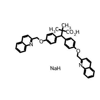 CC(C)(C(=O)O)C(c1ccc(OCc2ccc3ccccc3n2)cc1)c1ccc(OCc2ccc3ccccc3n2)cc1.[NaH]